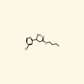 CCCCOC(=O)CC(N)c1cc(Cl)ccn1